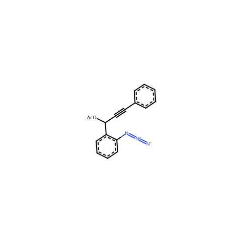 CC(=O)OC(C#Cc1ccccc1)c1ccccc1N=[N+]=[N-]